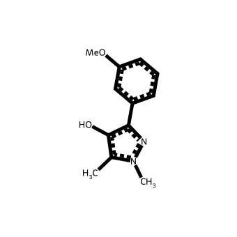 COc1cccc(-c2nn(C)c(C)c2O)c1